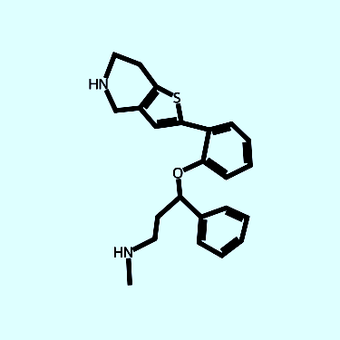 CNCCC(Oc1ccccc1-c1cc2c(s1)CCNC2)c1ccccc1